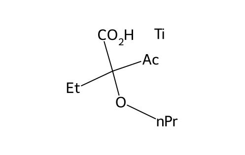 CCCOC(CC)(C(C)=O)C(=O)O.[Ti]